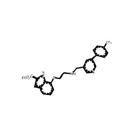 CCOC(=O)c1cc2cccc(OCCNCc3cncc(-c4ccc(C)cc4)c3)c2[nH]1